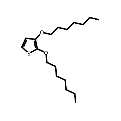 CCCCCCCOc1ccsc1OCCCCCCC